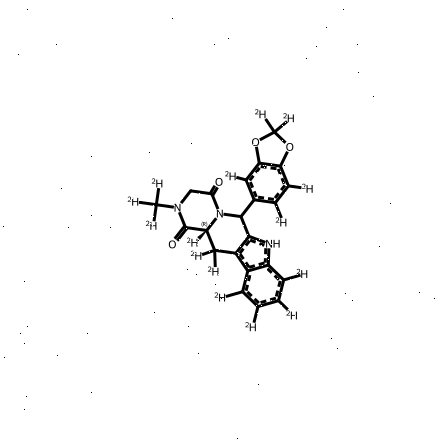 [2H]c1c([2H])c(C2c3[nH]c4c([2H])c([2H])c([2H])c([2H])c4c3C([2H])([2H])[C@]3([2H])C(=O)N(C([2H])([2H])[2H])CC(=O)N23)c([2H])c2c1OC([2H])([2H])O2